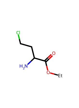 CCOC(=O)C(N)CCCl